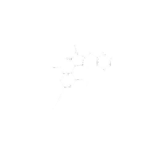 CC#Cc1cc(OC)c(C2C(=O)N(C)N(Cc3ccccn3)C2=O)c(OC)c1